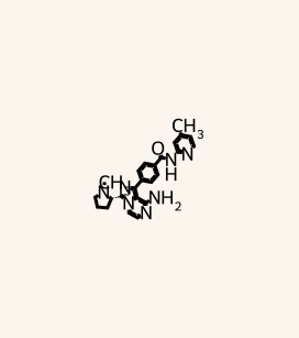 Cc1ccnc(NC(=O)c2ccc(-c3nc([C@@H]4CCCN4C)n4ccnc(N)c34)cc2)c1